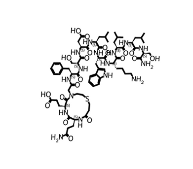 CC(C)C[C@H](NC(=O)[C@H](CC(C)C)NC(=O)[C@H](CCCCN)NC(=O)[C@H](Cc1c[nH]c2ccccc12)NC(=O)[C@H](CC(C)C)NC(=O)[C@H](CC(=O)O)NC(=O)[C@H](CO)NC(=O)[C@H](Cc1ccccc1)NC(=O)CN1CCSCCC(=O)N[C@@H](CCC(N)=O)C(=O)N[C@@H](CCC(=O)O)C1=O)C(=O)N[C@@H](CO)C(N)=O